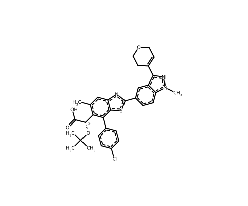 Cc1cc2nc(-c3ccc4c(c3)c(C3=CCOCC3)nn4C)sc2c(-c2ccc(Cl)cc2)c1[C@H](OC(C)(C)C)C(=O)O